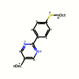 CCCCCCCCCCc1cnc(-c2ccc(SCCCCCCCC)cc2)nc1